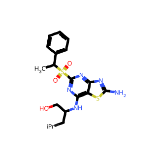 CC(C)CC(CO)Nc1nc(S(=O)(=O)C(C)c2ccccc2)nc2nc(N)sc12